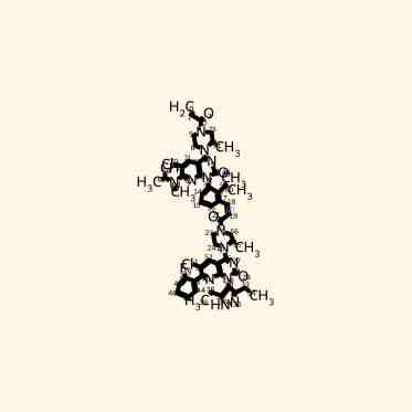 C=CC(=O)N1CCN(c2nc(=O)n(-c3cccc(/C=C\C(=O)N4CCN(c5nc(=O)n(-c6c(CC)n[nH]c6CC)c6nc(-c7ccccc7F)c(Cl)cc56)[C@@H](C)C4)c3C(C)C)c3nc(N(C)C(C)C)c(Cl)cc23)[C@@H](C)C1